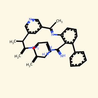 C=C(/C=C\C=C/N)CNC(=N)c1c(/N=C(\C)c2cncc(C(C)C(=C)N)c2)cccc1-c1ccccc1